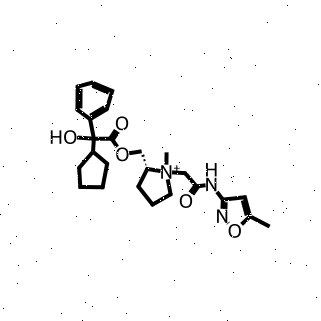 Cc1cc(NC(=O)C[N+]2(C)CCC[C@@H]2COC(=O)C(O)(c2ccccc2)C2CCCC2)no1